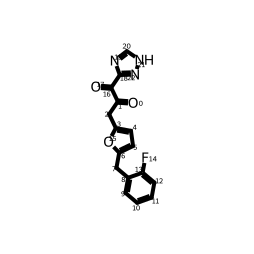 O=C(Cc1ccc(Cc2ccccc2F)o1)C(=O)c1nc[nH]n1